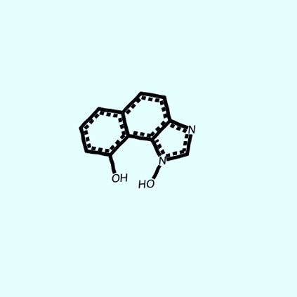 Oc1cccc2ccc3ncn(O)c3c12